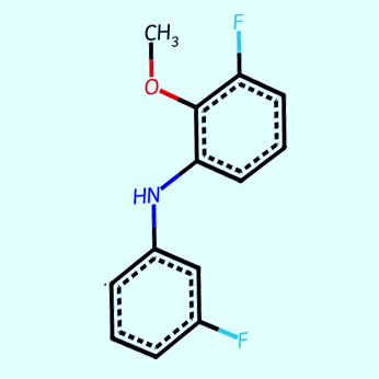 COc1c(F)cccc1Nc1[c]ccc(F)c1